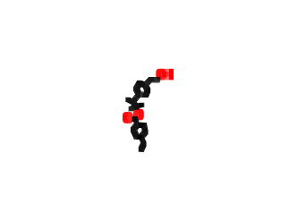 C=Cc1ccc(C(=O)OC(C)(C)C(C)c2ccc(C=CO)cc2)cc1